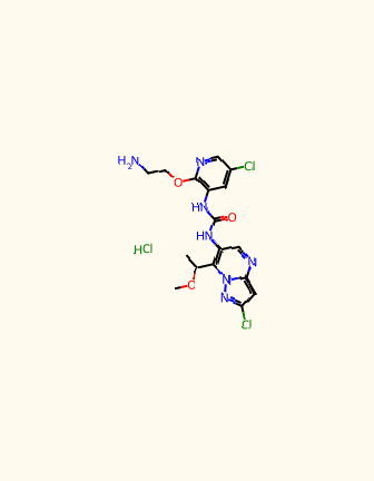 COC(C)c1c(NC(=O)Nc2cc(Cl)cnc2OCCN)cnc2cc(Cl)nn12.Cl